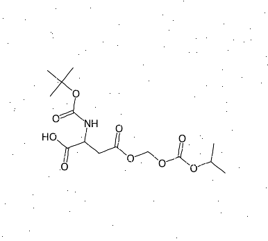 CC(C)OC(=O)OCOC(=O)CC(NC(=O)OC(C)(C)C)C(=O)O